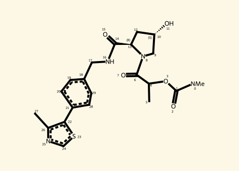 CNC(=O)OC(C)C(=O)N1C[C@@H](O)C[C@@H]1C(=O)NCc1ccc(-c2scnc2C)cc1